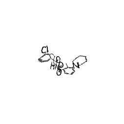 CCC1(C(=O)NS(=O)(=O)c2cccc(N3CCCCC3)c2C)CCc2c(Cl)cccc21